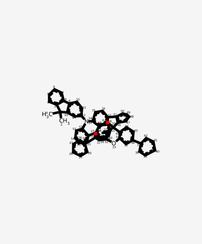 CC1(C)c2ccccc2-c2ccc(N(c3ccc4c(c3)C3(c5ccc(-c6ccccc6)cc5Oc5cc(-c6ccccc6)ccc53)c3ccccc3-4)c3ccccc3-c3ccccc3)cc21